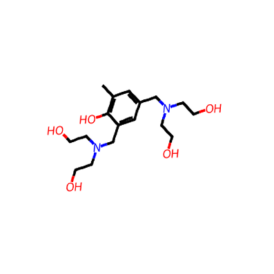 Cc1cc(CN(CCO)CCO)cc(CN(CCO)CCO)c1O